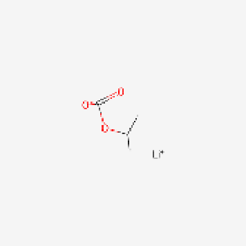 CC(C)OC(=O)[O-].[Li+]